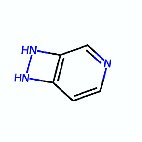 c1cc2[nH][nH]c2cn1